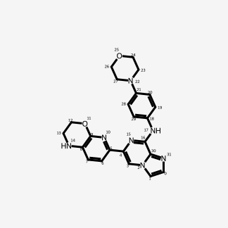 c1cn2cc(-c3ccc4c(n3)OCCN4)nc(Nc3ccc(N4CCOCC4)cc3)c2n1